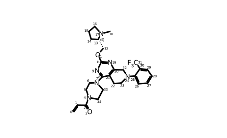 C=CC(=O)N1CCN(c2nc(OC[C@@H]3CCCN3C)nc3c2CCN(c2ccccc2C(F)(F)F)C3)CC1